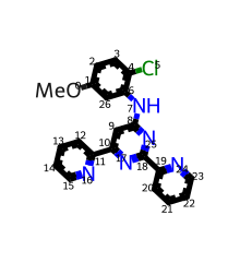 COc1ccc(Cl)c(Nc2cc(-c3ccccn3)nc(-c3ccccn3)n2)c1